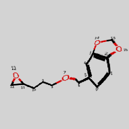 c1cc2c(cc1COCCCC1CO1)OCO2